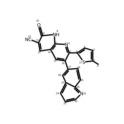 Cc1ccc(-c2nc3[nH]c(=O)c(C#N)cc3cc2-c2ccc3ncccc3c2)s1